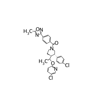 Cc1nc(-c2ccc(C(=O)N3CC[C@H]([C@H](C)Oc4ccc(Cl)cn4)[C@@H](c4ccc(Cl)cc4)C3)cc2)no1